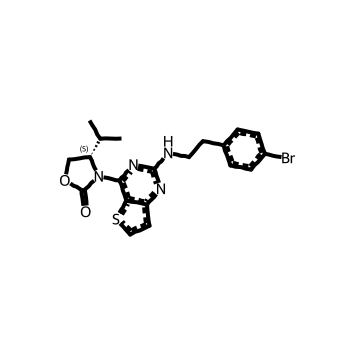 CC(C)[C@H]1COC(=O)N1c1nc(NCCc2ccc(Br)cc2)nc2ccsc12